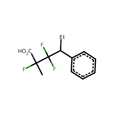 CCC(c1ccccc1)C(F)(F)C(C)(F)C(=O)O